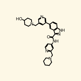 O=C(Nc1ccnc(CN2CCCCC2)c1)c1n[nH]c2ccc(-c3cncc(CN4CCC(O)CC4)c3)cc12